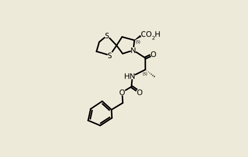 C[C@H](NC(=O)OCc1ccccc1)C(=O)N1CC2(C[C@H]1C(=O)O)SCCS2